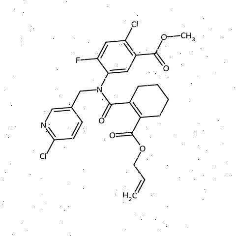 C=CCOC(=O)C1=C(C(=O)N(Cc2ccc(Cl)nc2)c2cc(C(=O)OC)c(Cl)cc2F)CCCC1